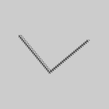 [K+].[K+].[K+].[K+].[K+].[K+].[K+].[K+].[K+].[K+].[K+].[K+].[K+].[K+].[K+].[K+].[K+].[K+].[K+].[K+].[K+].[K+].[K+].[K+].[K+].[K+].[K+].[K+].[K+].[K+].[K+].[K+].[K+].[K+].[K+].[K+].[K+].[K+].[K+].[K+].[K+].[K+].[K+].[K+].[K+].[K+]